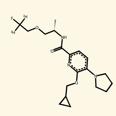 [2H]C([2H])(F)COC[C@H](C)NC(=O)c1ccc(N2CCCC2)c(OCC2CC2)n1